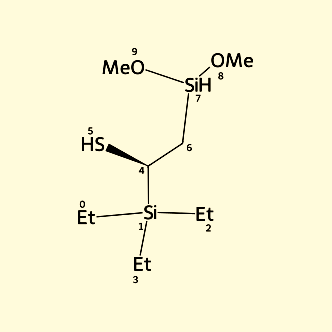 CC[Si](CC)(CC)[C@@H](S)C[SiH](OC)OC